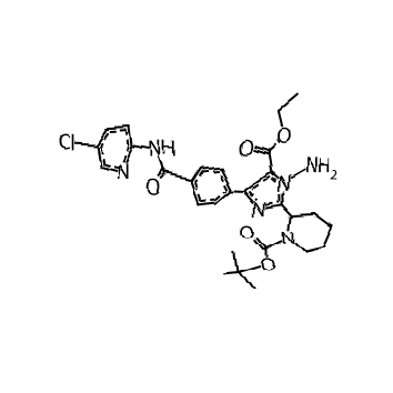 CCOC(=O)c1c(-c2ccc(C(=O)Nc3ccc(Cl)cn3)cc2)nc(C2CCCCN2C(=O)OC(C)(C)C)n1N